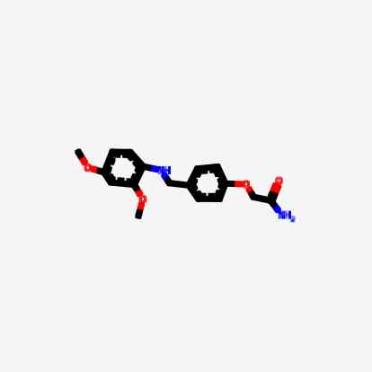 COc1ccc(NCc2ccc(OCC(N)=O)cc2)c(OC)c1